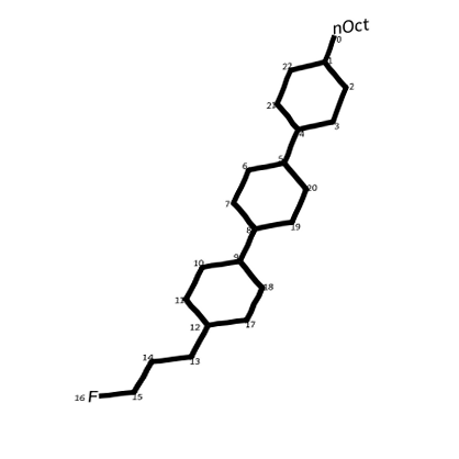 CCCCCCCCC1CCC(C2CCC(C3CCC(CCCF)CC3)CC2)CC1